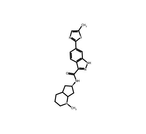 Cc1cnc(-c2ccc3c(C(=O)N[C@@H]4CC5CCCN(C)C5C4)n[nH]c3c2)s1